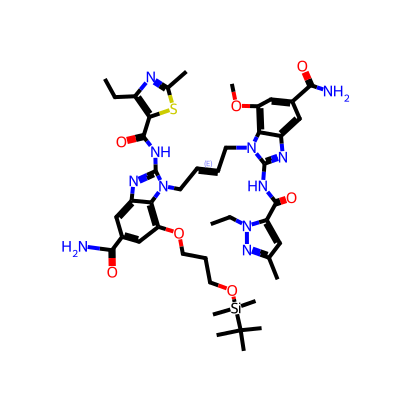 CCc1nc(C)sc1C(=O)Nc1nc2cc(C(N)=O)cc(OCCCO[Si](C)(C)C(C)(C)C)c2n1C/C=C/Cn1c(NC(=O)c2cc(C)nn2CC)nc2cc(C(N)=O)cc(OC)c21